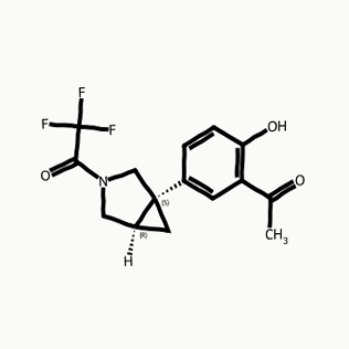 CC(=O)c1cc([C@]23C[C@H]2CN(C(=O)C(F)(F)F)C3)ccc1O